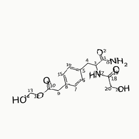 NC(=O)C(Cc1ccc(CC(=O)OCO)cc1)NC(=O)CO